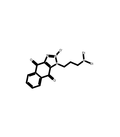 CCN(CC)CCCn1c2c(n[n+]1[O-])C(=O)c1ccccc1C2=O